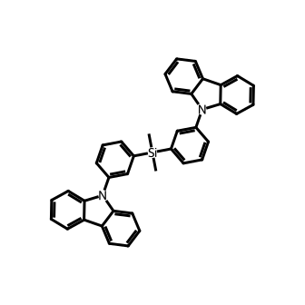 C[Si](C)(c1cccc(-n2c3ccccc3c3ccccc32)c1)c1cccc(-n2c3ccccc3c3ccccc32)c1